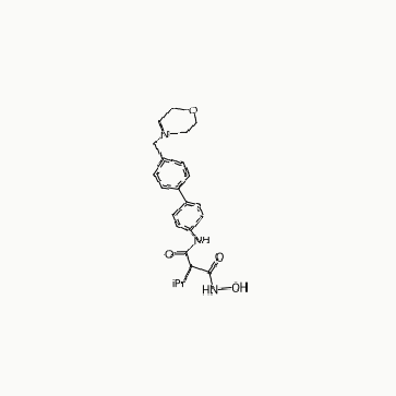 CC(C)C(C(=O)NO)C(=O)Nc1ccc(-c2ccc(CN3CCOCC3)cc2)cc1